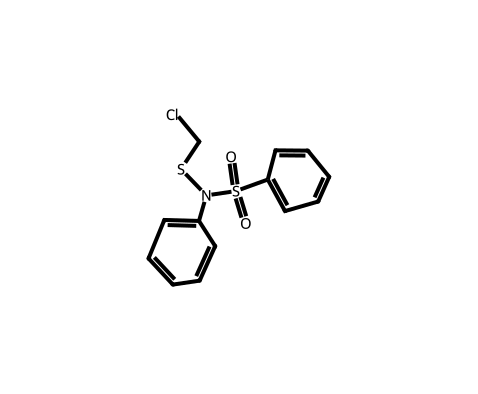 O=S(=O)(c1ccccc1)N(SCCl)c1ccccc1